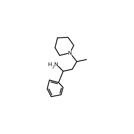 CC(CC(N)c1ccccc1)N1CCCCC1